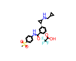 CS(=O)(=O)c1ccc(NC(=O)c2cccc([C@@H]3C[C@H]3NCC3CC3)c2)cc1.O=C(O)C(F)(F)F